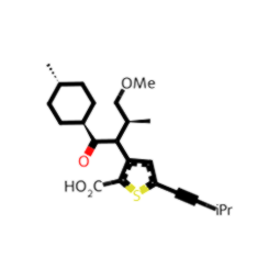 COC[C@@H](C)C(c1cc(C#CC(C)C)sc1C(=O)O)C(=O)[C@H]1CC[C@H](C)CC1